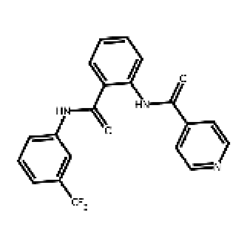 O=C(Nc1ccccc1C(=O)Nc1cccc(C(F)(F)F)c1)c1ccncc1